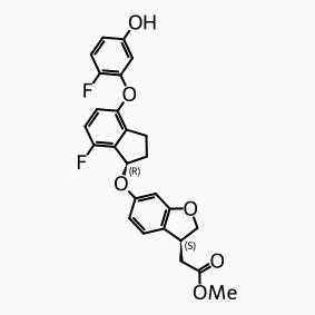 COC(=O)C[C@@H]1COc2cc(O[C@@H]3CCc4c(Oc5cc(O)ccc5F)ccc(F)c43)ccc21